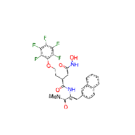 CNC(=O)[C@H](Cc1ccc2ccccc2c1)NC(=O)C(CCOc1c(F)c(F)c(F)c(F)c1F)CC(=O)NO